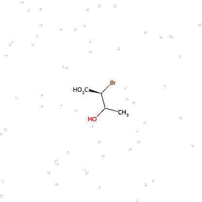 CC(O)[C@H](Br)C(=O)O